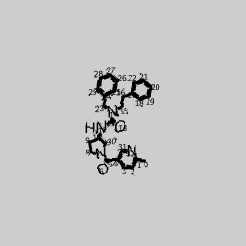 Cc1ccc(C(=O)N2CCC(NC(=O)N(CCc3ccccc3)Cc3ccccc3)C2)cn1